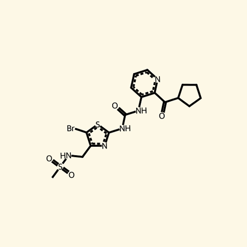 CS(=O)(=O)NCc1nc(NC(=O)Nc2cccnc2C(=O)C2CCCC2)sc1Br